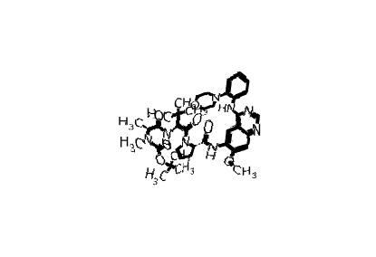 COc1cc2ncnc(Nc3ccccc3N3CCOCC3)c2cc1NC(=O)[C@@H]1CCCN1C(=O)[C@@H](NC(=O)[C@H](C)N(C)C(=O)OC(C)(C)C)C(C)(C)C